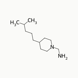 CC(C)CCCC1CCN(CN)CC1